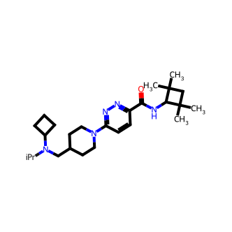 CC(C)N(CC1CCN(c2ccc(C(=O)NC3C(C)(C)CC3(C)C)nn2)CC1)C1CCC1